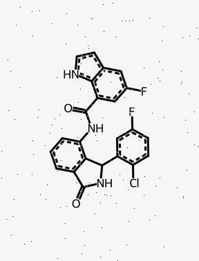 O=C1NC(c2cc(F)ccc2Cl)c2c(NC(=O)c3cc(F)cc4cc[nH]c34)cccc21